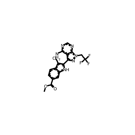 COC(=O)c1ccc2c(Cl)c(-c3nn(CC(F)(F)F)c4ncnc(N)c34)[nH]c2c1